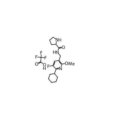 COc1nc(C2CCCCC2)c(F)cc1CNC(=O)C1CCCN1.O=C(O)C(F)(F)F